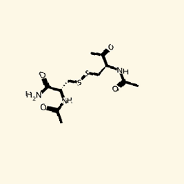 CC(=O)N[C@@H](CSSC[C@H](NC(C)=O)C(N)=O)C(C)=O